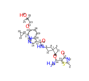 Cc1nc(O[C@H]2CC3(C[C@H](NC(=O)c4cnn5c(C6CC6)c(OCC(C)(C)O)ccc45)C3)C2)c(C(N)=O)s1